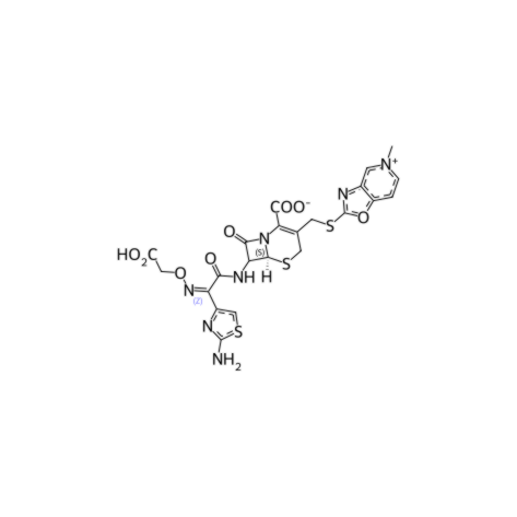 C[n+]1ccc2oc(SCC3=C(C(=O)[O-])N4C(=O)C(NC(=O)/C(=N\OCC(=O)O)c5csc(N)n5)[C@@H]4SC3)nc2c1